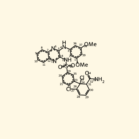 COc1cc(Nc2nc3ccccc3nc2NS(=O)(=O)c2cccc(C3(Cl)C(Cl)=CC=CC3C(N)=O)c2)cc(OC)c1